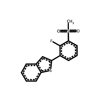 CS(=O)(=O)c1cccc(-c2cc3ccccc3s2)c1F